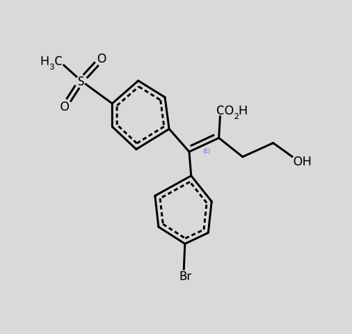 CS(=O)(=O)c1ccc(/C(=C(/CCO)C(=O)O)c2ccc(Br)cc2)cc1